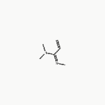 C=C/C(=N\C)N(C)C